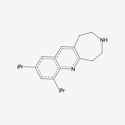 CC(C)c1cc(C(C)C)c2nc3c(cc2c1)CCNCC3